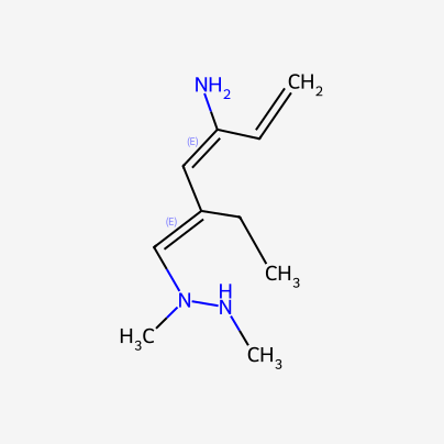 C=C/C(N)=C\C(=C\N(C)NC)CC